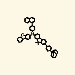 CC1(C)c2cc(-c3ccc(C45CC6CC(CC(C6)C4)C5)cc3)ccc2-c2ccc(N(c3ccc(-c4cccc5ccccc45)cc3)c3ccc4c(c3)oc3ccccc34)cc21